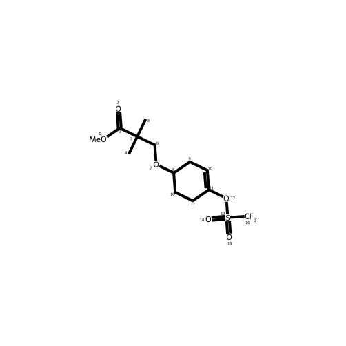 COC(=O)C(C)(C)COC1CC=C(OS(=O)(=O)C(F)(F)F)CC1